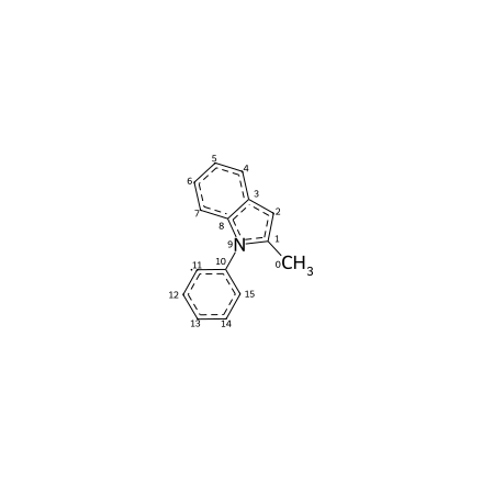 Cc1cc2ccccc2n1-c1[c]cccc1